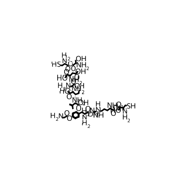 CC(C)[C@H](N)C(=O)O.CC[C@H](C)[C@H](N)C(=O)O.N=C(N)NCCC[C@H](N)C(=O)O.NCC(=O)O.NCC(=O)Oc1ccc(C[C@H](N)C(=O)O)cc1.N[C@@H](CC(=O)O)C(=O)O.N[C@@H](CO)C(=O)OC(=O)[C@@H](N)CS.N[C@@H](CS)C(=O)O